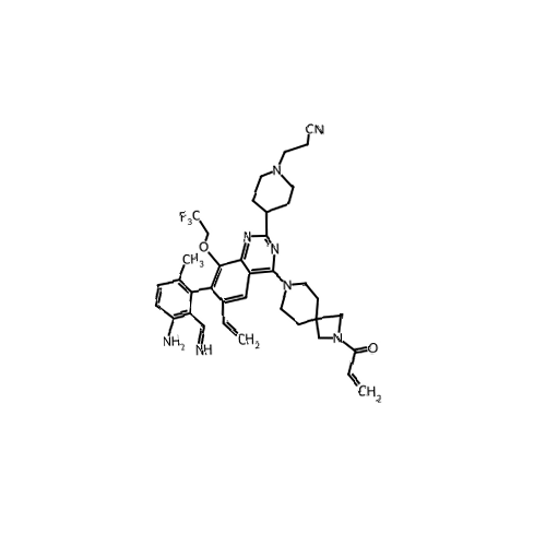 C=CC(=O)N1CC2(CCN(c3nc(C4CCN(CCC#N)CC4)nc4c(OCC(F)(F)F)c(-c5c(C)ccc(N)c5C=N)c(C=C)cc34)CC2)C1